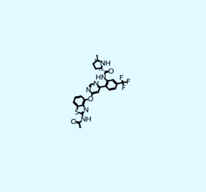 CC(=O)Nc1nc2c(Oc3cc(-c4ccc(C(F)(F)F)cc4NC(=O)[C@@H]4CC[C@@H](C)N4)ncn3)cccc2s1